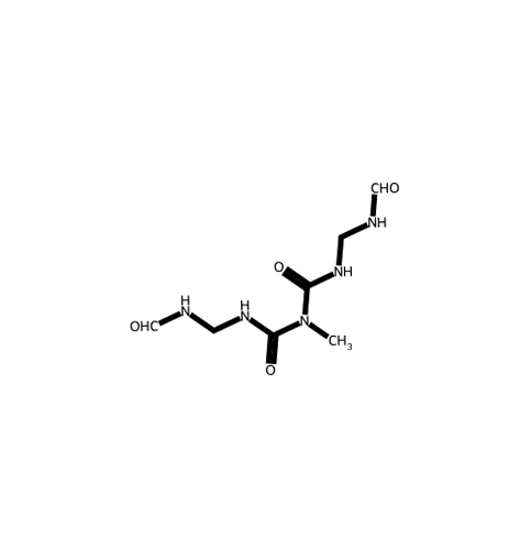 CN(C(=O)NCNC=O)C(=O)NCNC=O